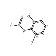 CCC(=O)Oc1c(Cl)cccc1Cl